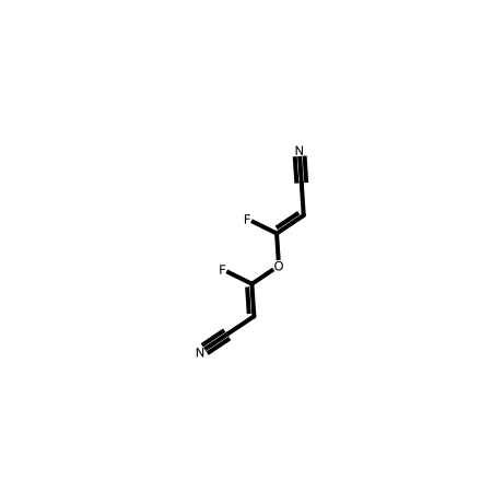 N#CC=C(F)OC(F)=CC#N